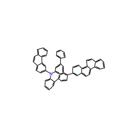 c1ccc(-c2cccc(N(c3ccc4ccc5ccccc5c4c3)c3ccccc3-c3ccc(-c4ccc5c(ccc6c7ccccc7ccc56)c4)cc3)c2)cc1